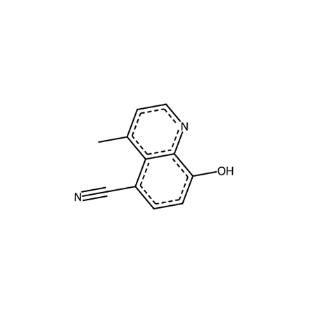 Cc1ccnc2c(O)ccc(C#N)c12